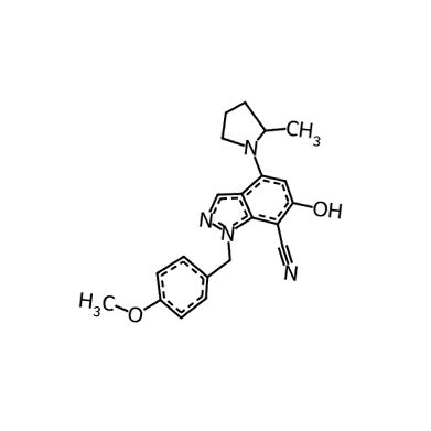 COc1ccc(Cn2ncc3c(N4CCCC4C)cc(O)c(C#N)c32)cc1